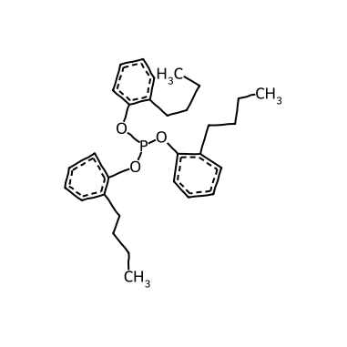 CCCCc1ccccc1OP(Oc1ccccc1CCCC)Oc1ccccc1CCCC